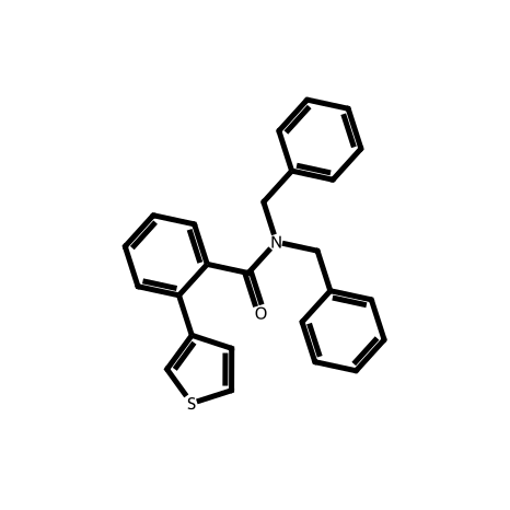 O=C(c1ccccc1-c1ccsc1)N(Cc1ccccc1)Cc1ccccc1